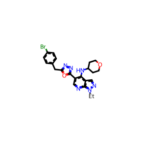 CCn1ncc2c(NC3CCOCC3)c(-c3nnc(Cc4ccc(Br)cc4)o3)cnc21